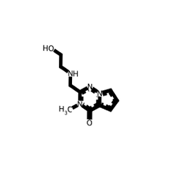 Cn1c(CNCCO)nn2cccc2c1=O